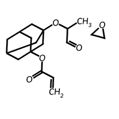 C1CO1.C=CC(=O)OC12CC3CC(C1)CC(OC(C)C=O)(C3)C2